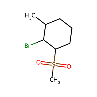 CC1CCCC(S(C)(=O)=O)C1Br